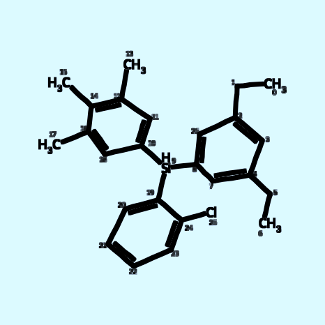 CCc1cc(CC)cc([SiH](c2cc(C)c(C)c(C)c2)c2ccccc2Cl)c1